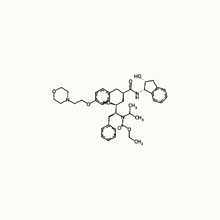 CCOC(=O)N(C(C)C)[C@@H](Cc1ccccc1)[C@@H](O)C[C@@H](Cc1ccc(OCCN2CCOCC2)cc1)C(=O)N[C@H]1c2ccccc2C[C@H]1O